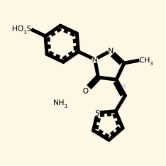 CC1=NN(c2ccc(S(=O)(=O)O)cc2)C(=O)/C1=C\c1cccs1.N